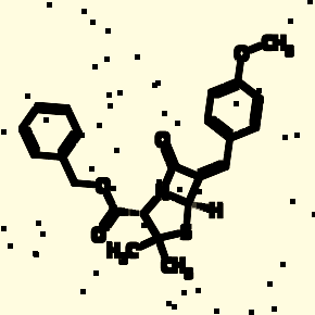 COc1ccc(/C=C2\C(=O)N3[C@@H]2SC(C)(C)[C@@H]3C(=O)OCc2ccccc2)cc1